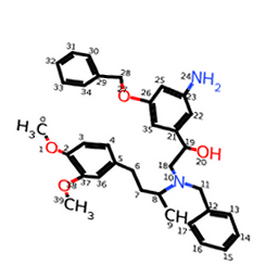 COc1ccc(CCC(C)N(Cc2ccccc2)CC(O)c2cc(N)cc(OCc3ccccc3)c2)cc1OC